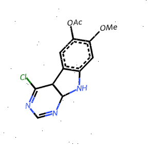 COc1cc2c(cc1OC(C)=O)C1C(Cl)=NC=NC1N2